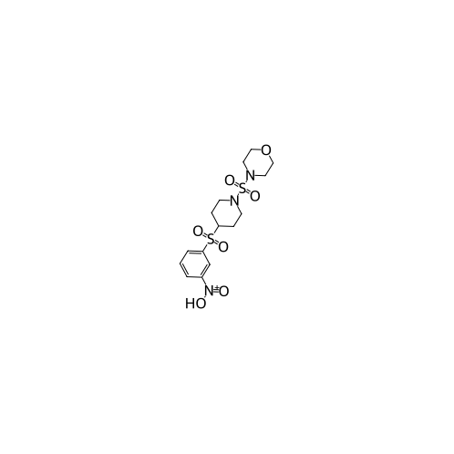 O=[N+](O)c1cccc(S(=O)(=O)C2CCN(S(=O)(=O)N3CCOCC3)CC2)c1